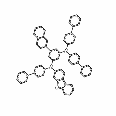 c1ccc(-c2ccc(N(c3ccc(-c4ccccc4)cc3)c3cc(-c4ccc5ccccc5c4)cc(N(c4ccc(-c5ccccc5)cc4)c4ccc5c(c4)oc4ccccc45)c3)cc2)cc1